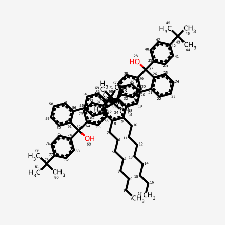 CCCCCCCCc1c(CCCCCCCC)c2cc(-c3ccccc3C(O)(c3ccc(C(C)(C)C)cc3)c3ccc(C(C)(C)C)cc3)ccc2c2ccc(-c3ccccc3C(O)(c3ccc(C(C)(C)C)cc3)c3ccc(C(C)(C)C)cc3)cc12